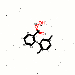 Cc1ccc(C)cc1.O=C(OO)c1ccccc1